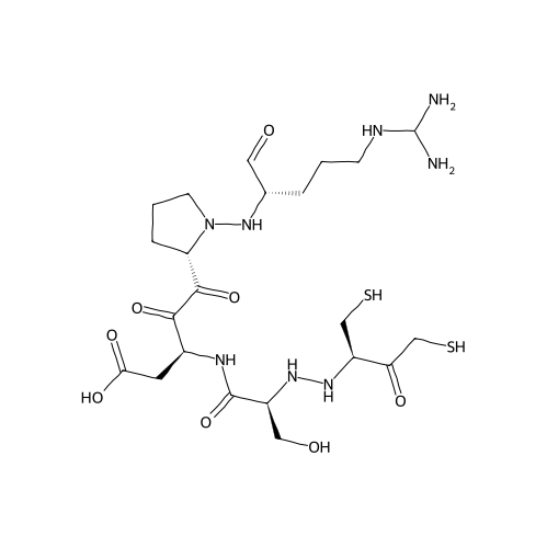 NC(N)NCCC[C@@H](C=O)NN1CCC[C@H]1C(=O)C(=O)[C@H](CC(=O)O)NC(=O)[C@H](CO)NN[C@@H](CS)C(=O)CS